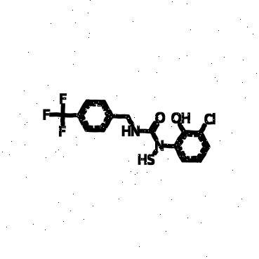 O=C(NCc1ccc(C(F)(F)F)cc1)N(S)c1cccc(Cl)c1O